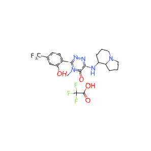 Cn1c(-c2ccc(C(F)(F)F)cc2O)nnc(NC2CCCN3CCCC23)c1=O.O=C(O)C(F)(F)F